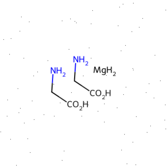 NCC(=O)O.NCC(=O)O.[MgH2]